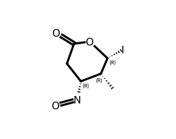 C[C@@H]1[C@H](N=O)CC(=O)O[C@@H]1I